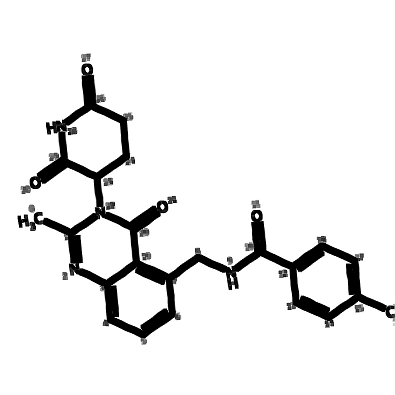 Cc1nc2cccc(CNC(=O)c3ccc(Cl)cc3)c2c(=O)n1C1CCC(=O)NC1=O